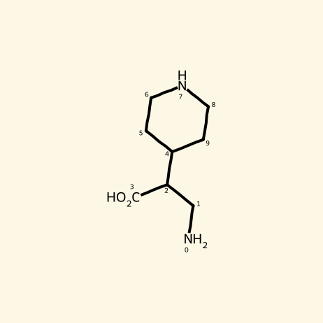 NCC(C(=O)O)C1CCNCC1